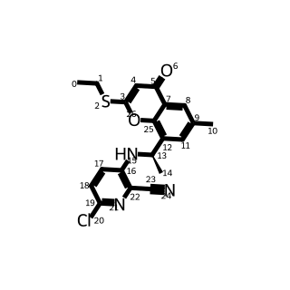 CCSc1cc(=O)c2cc(C)cc([C@@H](C)Nc3ccc(Cl)nc3C#N)c2o1